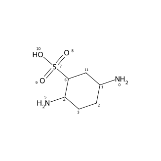 NC1CCC(N)C(S(=O)(=O)O)C1